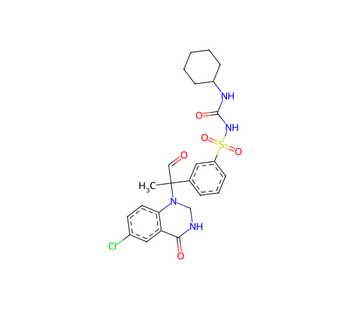 CC(C=O)(c1cccc(S(=O)(=O)NC(=O)NC2CCCCC2)c1)N1CNC(=O)c2cc(Cl)ccc21